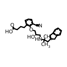 CC(C)(CC1Cc2ccccc2C1)NC[C@H](O)COc1c(C#N)cccc1CCCC(=O)O